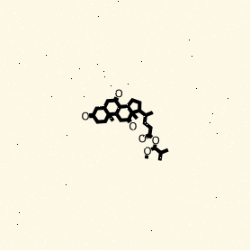 COC(OC(=O)CCC(C)C1CCC2C3C(=O)CC4CC(=O)CCC4(C)C3CC(=O)C12C)C(C)C